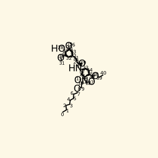 CCCCCCCCOCC(=O)N(C)c1cc(NC(=O)C=Cc2cc(OC)c(O)c(OC)c2)ccc1C(=O)OCC